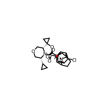 CC(=O)N1C2CCC1CN(C(=O)OC1([C@H]3COC[C@@H](C4CC4)N3S(=O)(=O)c3ccc(Cl)cc3)CC1)C2